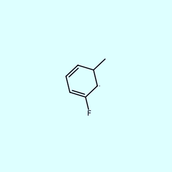 CC1[CH]C(F)=CC=C1